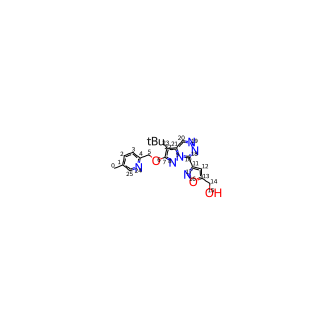 Cc1ccc(COc2nn3c(-c4cc(CO)on4)nncc3c2C(C)(C)C)nc1